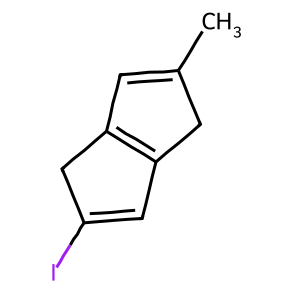 CC1=CC2=C(C=C(I)C2)C1